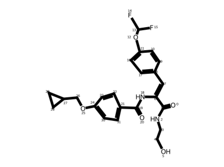 O=C(NCCO)C(=Cc1ccc(OC(F)F)cc1)NC(=O)c1ccc(OCC2CC2)cc1